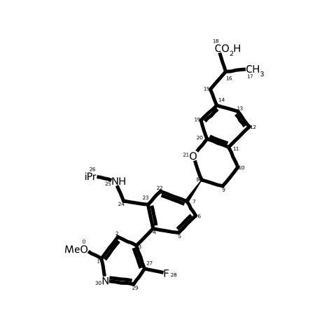 COc1cc(-c2ccc([C@@H]3CCc4ccc(CC(C)C(=O)O)cc4O3)cc2CNC(C)C)c(F)cn1